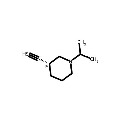 CC(C)N1CCC[C@H](C#[SH])C1